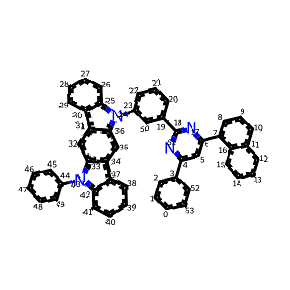 c1ccc(-c2cc(-c3cccc4ccccc34)nc(-c3cccc(-n4c5ccccc5c5cc6c(cc54)c4ccccc4n6-c4ccccc4)c3)n2)cc1